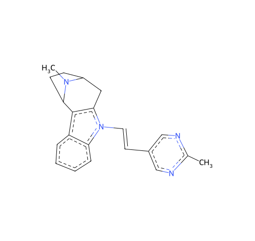 Cc1ncc(/C=C/n2c3c(c4ccccc42)C2CCC(C3)N2C)cn1